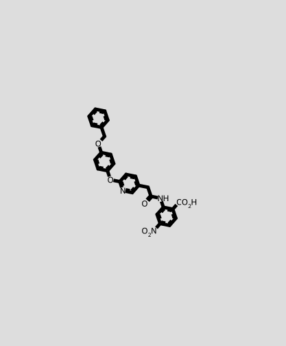 O=C(Cc1ccc(Oc2ccc(OCc3ccccc3)cc2)nc1)Nc1cc([N+](=O)[O-])ccc1C(=O)O